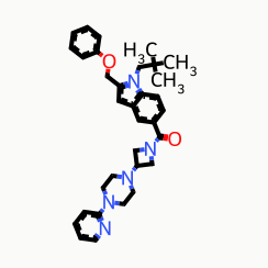 CC(C)(C)Cn1c(COc2ccccc2)cc2cc(C(=O)N3CC(N4CCN(c5ccccn5)CC4)C3)ccc21